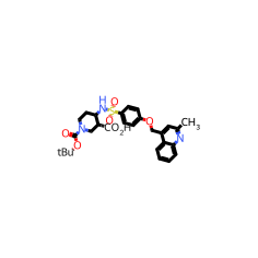 Cc1cc(COc2ccc(S(=O)(=O)NC3CCN(C(=O)OC(C)(C)C)CC3C(=O)O)cc2)c2ccccc2n1